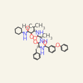 CC(C)[C@H](NC(=O)[C@H](C)NC(=O)[C@@H](Cc1ccccc1)NC(=O)c1cccc(Oc2ccccc2)c1)C(=O)C(=O)NC1CCCCC1